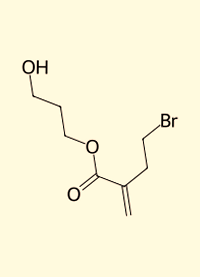 C=C(CCBr)C(=O)OCCCO